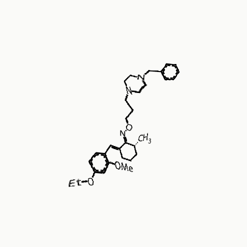 CCOc1ccc(/C=C2\CCC[C@@H](C)\C2=N/OCCCN2CCN(Cc3ccccc3)CC2)c(OC)c1